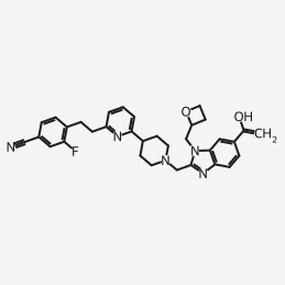 C=C(O)c1ccc2nc(CN3CCC(c4cccc(CCc5ccc(C#N)cc5F)n4)CC3)n(CC3CCO3)c2c1